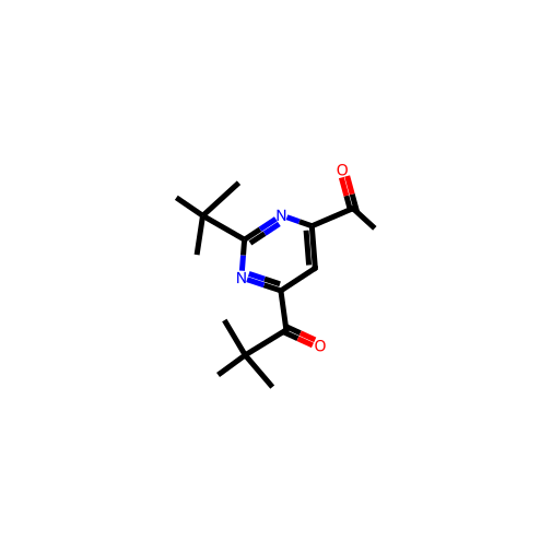 CC(=O)c1cc(C(=O)C(C)(C)C)nc(C(C)(C)C)n1